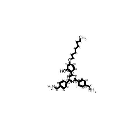 CCCCCCCCOc1ccc(-c2nc(-c3ccc(CN)cc3)nc(-c3ccc(CN)cc3)n2)c(O)c1